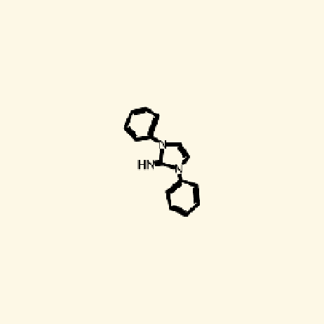 N=c1n(-c2ccccc2)ccn1-c1ccccc1